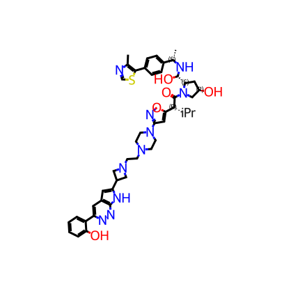 Cc1ncsc1-c1ccc([C@H](C)NC(O)[C@@H]2C[C@@H](O)CN2C(=O)[C@@H](c2cc(N3CCN(CCN4CC(c5cc6cc(-c7ccccc7O)nnc6[nH]5)C4)CC3)no2)C(C)C)cc1